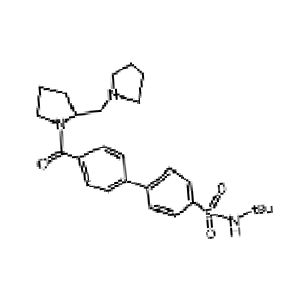 CC(C)(C)NS(=O)(=O)c1ccc(-c2ccc(C(=O)N3CCCC3CN3CCCC3)cc2)cc1